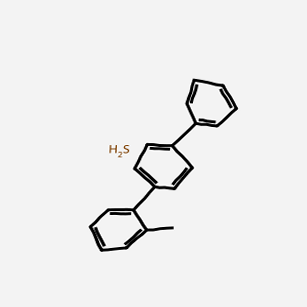 Cc1ccccc1-c1ccc(-c2ccccc2)cc1.S